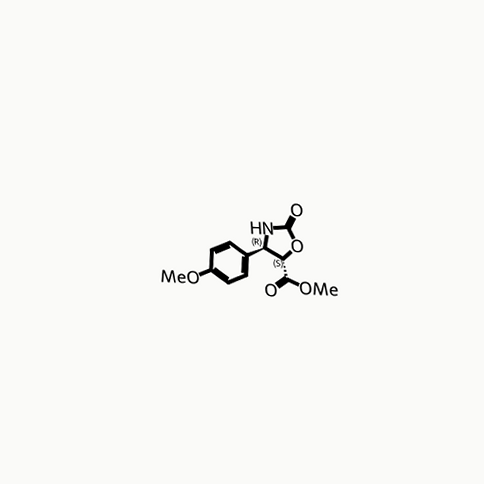 COC(=O)[C@H]1OC(=O)N[C@@H]1c1ccc(OC)cc1